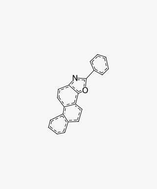 c1ccc(-c2nc3ccc4c5ccccc5ccc4c3o2)cc1